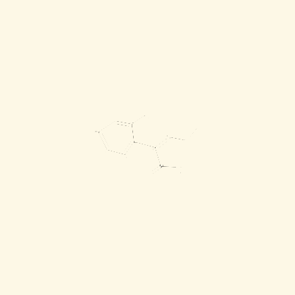 CON=C(C(=O)O)c1ccccc1C